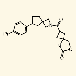 CC(C)c1ccc(C2CCC3(C2)CN(C(=O)C2CC4(COC(=O)N4)C2)C3)cc1